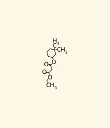 CCOC(=O)CC(=O)OC1CCCC(C)(C)C1